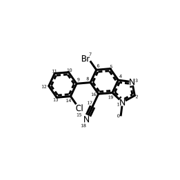 Cn1cnc2cc(Br)c(-c3ccccc3Cl)c(C#N)c21